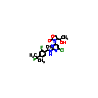 C[C@H](Nc1nc(Cl)cc(N2C(=O)OCC2[C@@H](C)O)n1)c1ccc(C(C)(C)F)cc1F